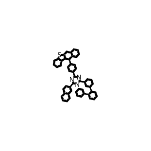 c1ccc(-c2ccccc2-c2cccc(-c3nc(-c4ccc(-c5c6ccccc6cc6sc7ccccc7c56)cc4)nc(-c4ccc5ccccc5c4)n3)c2)cc1